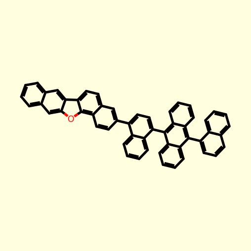 c1ccc2cc3c(cc2c1)oc1c2ccc(-c4ccc(-c5c6ccccc6c(-c6cccc7ccccc67)c6ccccc56)c5ccccc45)cc2ccc31